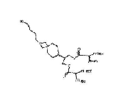 CCCCCCCC(CCCCCCC)C(=O)OCC(COC(=O)C(CCCCCCC)CCCCCCC)N1CCC2(CC1)CN(CCCCO)C2